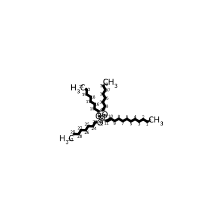 CCCCCCCCCCC=C[Si](OCCCCCCCC)(OCCCCCCCC)OCCCCCCCC